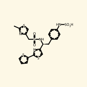 Cc1nc(CS(=O)(=O)N[C@@H](Cc2ccc(NS(=O)(=O)O)cc2)c2csc(-c3cccs3)n2)cs1